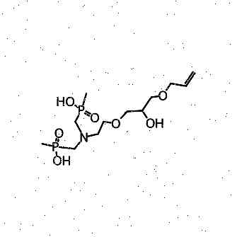 C=CCOCC(O)COCCN(CP(C)(=O)O)CP(C)(=O)O